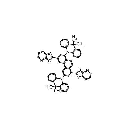 CC1(C)c2ccccc2N(c2cc(-c3nc4cccnc4o3)c3ccc4c(N5c6ccccc6C(C)(C)c6ccccc65)cc(-c5nc6cccnc6o5)cc4c3c2)c2ccccc21